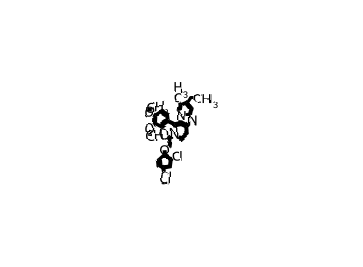 CCc1cc2nc3c(n2cc1C)C(c1ccc(OC)c(OC)c1)N(C(=O)COc1ccc(Cl)cc1Cl)CC3